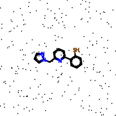 Sc1ccccc1-c1cccc(Cn2cccn2)n1